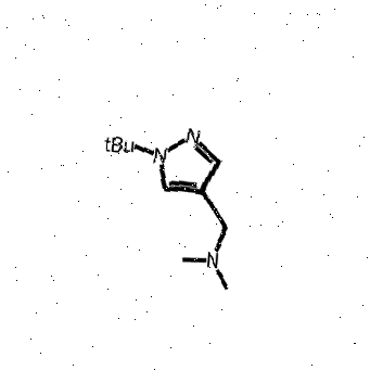 CN(C)Cc1cnn(C(C)(C)C)c1